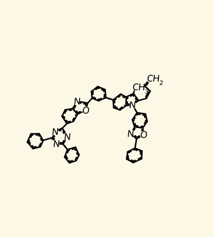 C=C/C=C\c1c(C)c2cc(-c3cccc(-c4nc5ccc(-c6nc(-c7ccccc7)nc(-c7ccccc7)n6)cc5o4)c3)ccc2n1-c1ccc2oc(-c3ccccc3)nc2c1